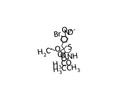 C=CCOC(=O)C1(Cc2ccc([N+](=O)[O-])c(Br)c2)CSCC(NC(=O)OC(C)(C)C)C1=O